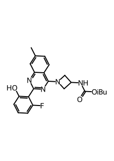 Cc1ccc2c(N3CC(NC(=O)OCC(C)C)C3)nc(-c3c(O)cccc3F)nc2c1